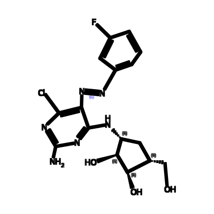 Nc1nc(Cl)c(/N=N/c2cccc(F)c2)c(N[C@@H]2C[C@H](CO)[C@@H](O)[C@H]2O)n1